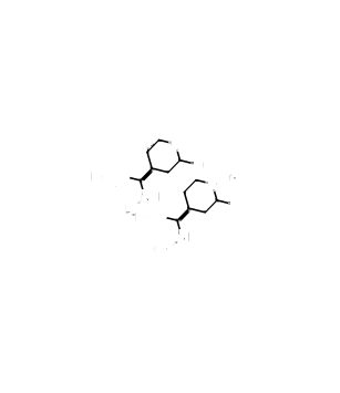 CCC1CC(=C(NC=O)C(=O)O)CCO1.CCC1CC(=C(NC=O)C(=O)O)CCO1.[Cu+].[Cu+].[O-2]